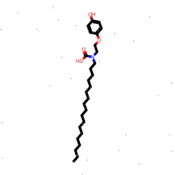 CCCCCCCCCCCCCCCCCCN(CCOc1ccc(O)cc1)C(=O)O